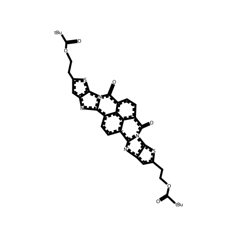 CC(C)(C)C(=O)OCCc1cc2nc3c4ccc5c6c(ccc(c(=O)n3c2s1)c46)c(=O)n1c5nc2cc(CCOC(=O)C(C)(C)C)sc21